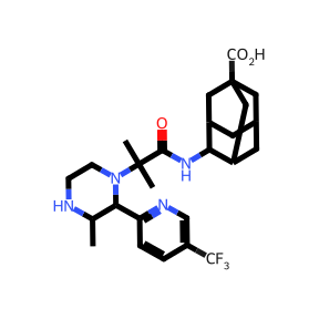 CC1NCCN(C(C)(C)C(=O)NC2C3CC4CC2CC(C(=O)O)(C4)C3)C1c1ccc(C(F)(F)F)cn1